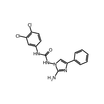 Nc1nc(-c2ccccc2)cn1NC(=O)Nc1ccc(Cl)c(Cl)c1